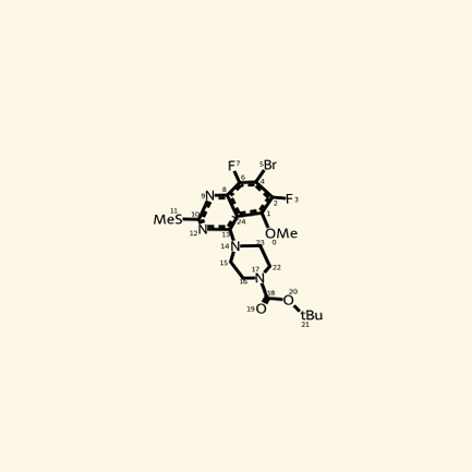 COc1c(F)c(Br)c(F)c2nc(SC)nc(N3CCN(C(=O)OC(C)(C)C)CC3)c12